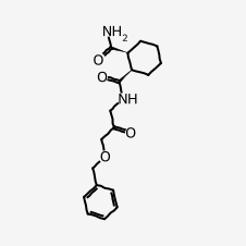 NC(=O)[C@H]1CCCC[C@H]1C(=O)NCC(=O)COCc1ccccc1